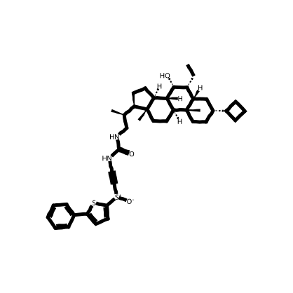 CC[C@H]1[C@@H](O)[C@@H]2[C@H](CC[C@]3(C)[C@@H]([C@H](C)CNC(=O)NC#C[S+]([O-])c4ccc(-c5ccccc5)s4)CC[C@@H]23)[C@@]2(C)CC[C@@H](C3CCC3)C[C@@H]12